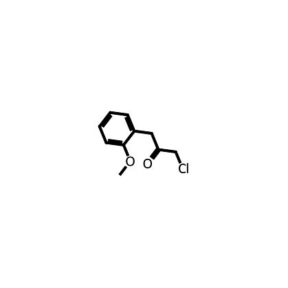 COc1ccccc1CC(=O)CCl